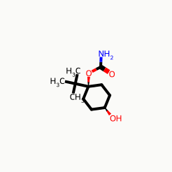 CC(C)(C)[C@]1(OC(N)=O)CC[C@@H](O)CC1